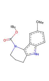 COc1ccc2[nH]c3c(c2c1)N(C(=O)OC(C)(C)C)CCC3